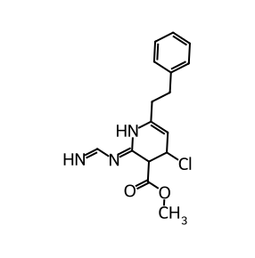 COC(=O)C1/C(=N/C=N)NC(CCc2ccccc2)=CC1Cl